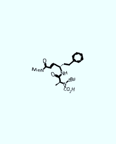 CNC(=O)C=C[C@H](CCc1ccccc1)NC(=O)[C@H](C)N(C(=O)O)C(C)(C)C